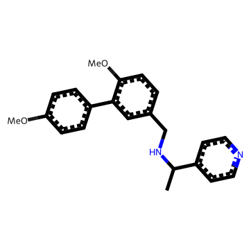 COc1ccc(-c2cc(CNC(C)c3ccncc3)ccc2OC)cc1